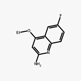 CCOc1cc(N)nc2ccc(F)cc12